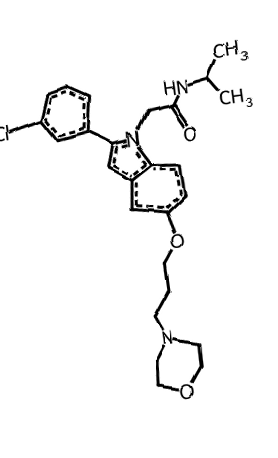 CC(C)NC(=O)Cn1c(-c2cccc(Cl)c2)cc2cc(OCCCN3CCOCC3)ccc21